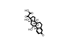 C[C@]12C=CC(=O)C=C1CC[C@H]1[C@@H]3CC[C@](O)(C(=O)C(=O)O)[C@@]3(C)C[C@H](O)[C@@]12F